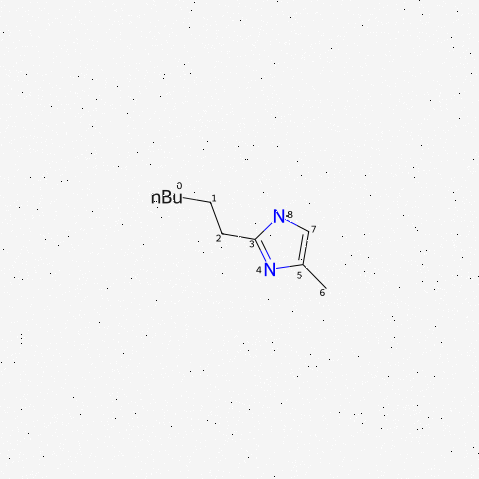 CCCCCCC1=NC(C)=C[N]1